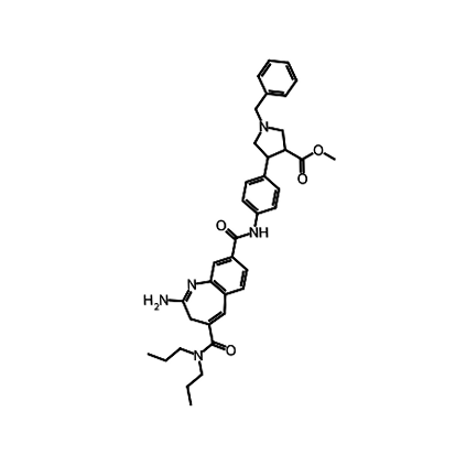 CCCN(CCC)C(=O)C1=Cc2ccc(C(=O)Nc3ccc(C4CN(Cc5ccccc5)CC4C(=O)OC)cc3)cc2N=C(N)C1